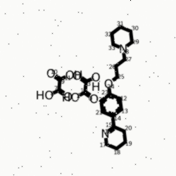 O=C(O)C(=O)O.O=C(O)C(=O)O.c1cc(C2=NCCCC2)ccc1OCCCN1CCCCC1